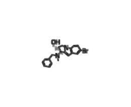 CN(Cc1ccccc1)[C@H]1c2cc3cc(Br)ccc3n2C[C@H]1CO